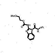 CCCNC(=O)n1c(NC(=O)OCCOC)nc2ccccc21